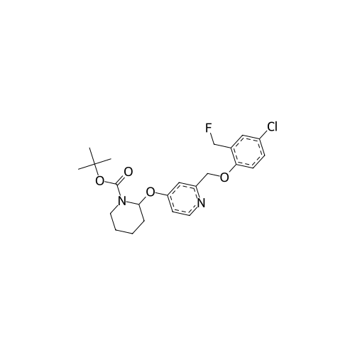 CC(C)(C)OC(=O)N1CCCCC1Oc1ccnc(COc2ccc(Cl)cc2CF)c1